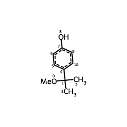 COC(C)(C)c1ccc(O)cc1